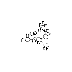 CNC(=O)c1c(-c2ccc(F)cc2)oc2nc(CCC(F)(F)F)c(-c3ccc(F)c(C(=O)NC(C)(C)C(F)(F)F)c3)cc12